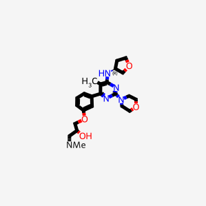 CNCC(O)COc1cccc(-c2nc(N3CCOCC3)nc(N[C@@H]3CCOC3)c2C)c1